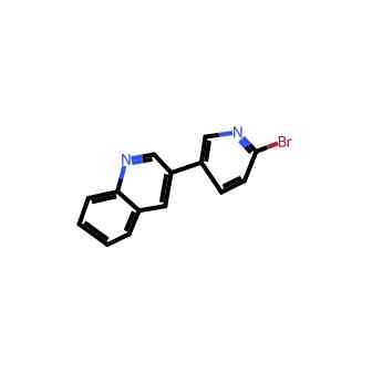 Brc1ccc(-c2cnc3ccccc3c2)cn1